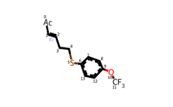 CC(=O)/C=C/CCSc1ccc(OC(F)(F)F)cc1